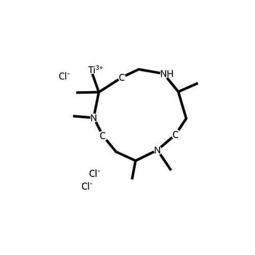 CC1CCN(C)C(C)CCN(C)[C](C)([Ti+3])CCN1.[Cl-].[Cl-].[Cl-]